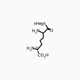 CCCCCCCC(=O)C(N)CCC[C@H](N)C(=O)O